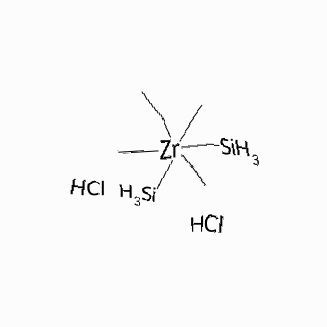 Cl.Cl.[CH3][Zr]([CH3])([CH3])([CH3])([SiH3])[SiH3]